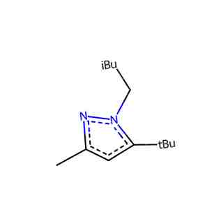 CCC(C)Cn1nc(C)cc1C(C)(C)C